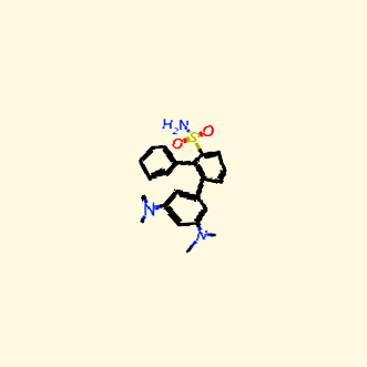 CN(C)c1cc(-c2cccc(S(N)(=O)=O)c2-c2ccccc2)cc(N(C)C)c1